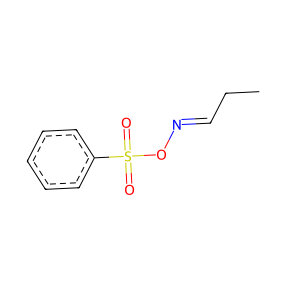 CC/C=N/OS(=O)(=O)c1ccccc1